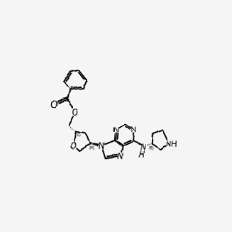 O=C(OC[C@@H]1C[C@@H](n2cnc3c(N[C@@H]4CCNC4)ncnc32)CO1)c1ccccc1